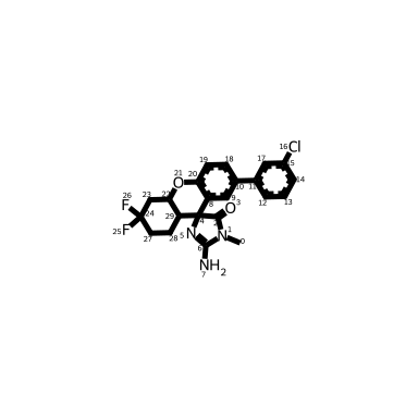 CN1C(=O)C2(N=C1N)c1cc(-c3cccc(Cl)c3)ccc1OC1CC(F)(F)CCC12